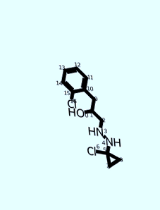 OC(CNNC1(Cl)CC1)Cc1ccccc1Cl